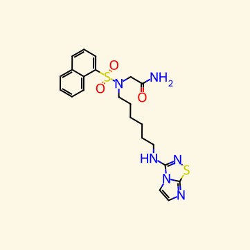 NC(=O)CN(CCCCCCNc1nsc2nccn12)S(=O)(=O)c1cccc2ccccc12